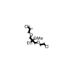 CCC(COCCCl)(COCCCl)OC